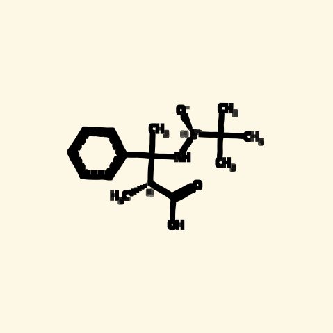 C[C@@H](C(=O)O)C(C)(N[S@@+]([O-])C(C)(C)C)c1ccccc1